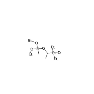 CCO[Si](C)(OCC)OC(C)P(=O)(CC)CC